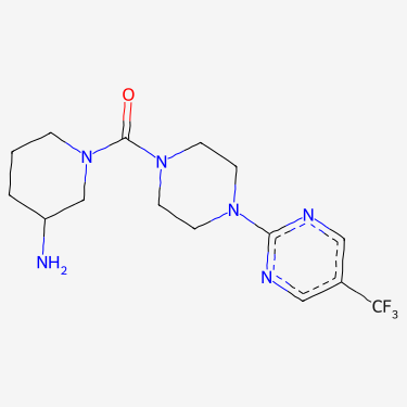 NC1CCCN(C(=O)N2CCN(c3ncc(C(F)(F)F)cn3)CC2)C1